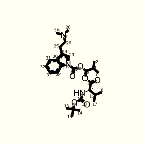 CC(C)C(OC(=O)[C@@H](NC(=O)OC(C)(C)C)C(C)C)OC(=O)n1cc(CCN(C)C)c2ccccc21